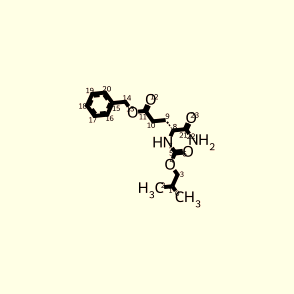 CC(C)COC(=O)N[C@H](CCC(=O)OCc1ccccc1)C(N)=O